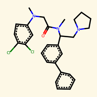 CN(CC(=O)N(C)C(CN1CCCC1)c1cccc(-c2ccccc2)c1)c1ccc(Cl)c(Cl)c1